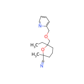 CCC1(COCc2ccccn2)CCCC(C)(C#N)O1